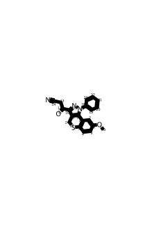 COc1ccc2c(c1)-c1c(c(C(=O)CC#N)nn1-c1ccccc1)CS2